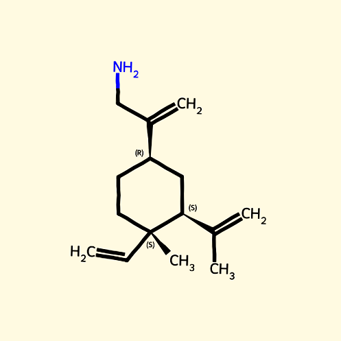 C=C[C@]1(C)CC[C@@H](C(=C)CN)C[C@H]1C(=C)C